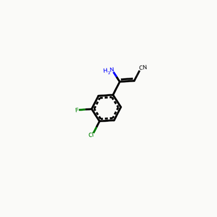 N#CC=C(N)c1ccc(Cl)c(F)c1